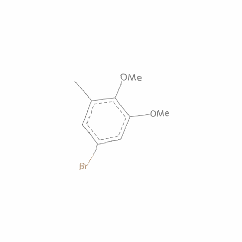 COc1cc(Br)cc(C)c1OC